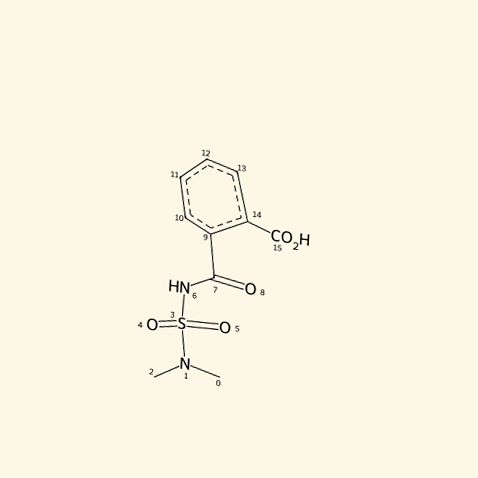 CN(C)S(=O)(=O)NC(=O)c1ccccc1C(=O)O